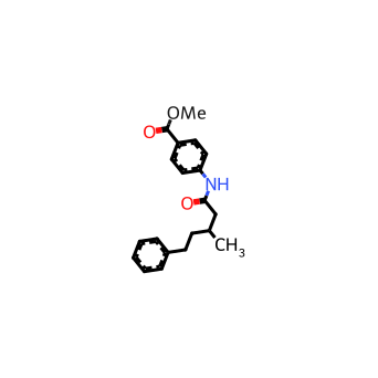 COC(=O)c1ccc(NC(=O)CC(C)CCc2ccccc2)cc1